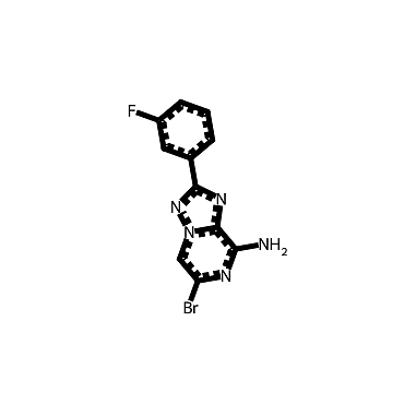 Nc1nc(Br)cn2nc(-c3cccc(F)c3)nc12